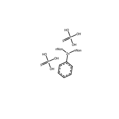 CCCCCCCC[CH2][Zn]([CH2]CCCCCCCC)[c]1ccccc1.OP(O)(O)=S.OP(O)(O)=S